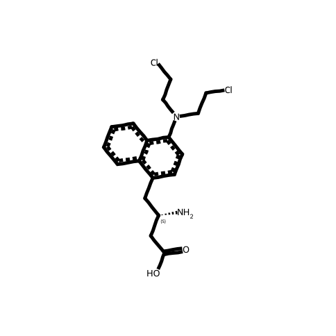 N[C@H](CC(=O)O)Cc1ccc(N(CCCl)CCCl)c2ccccc12